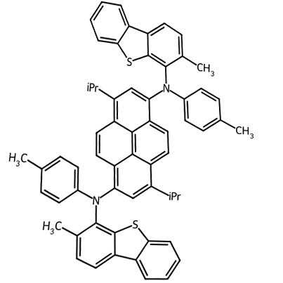 Cc1ccc(N(c2cc(C(C)C)c3ccc4c(N(c5ccc(C)cc5)c5c(C)ccc6c5sc5ccccc56)cc(C(C)C)c5ccc2c3c54)c2c(C)ccc3c2sc2ccccc23)cc1